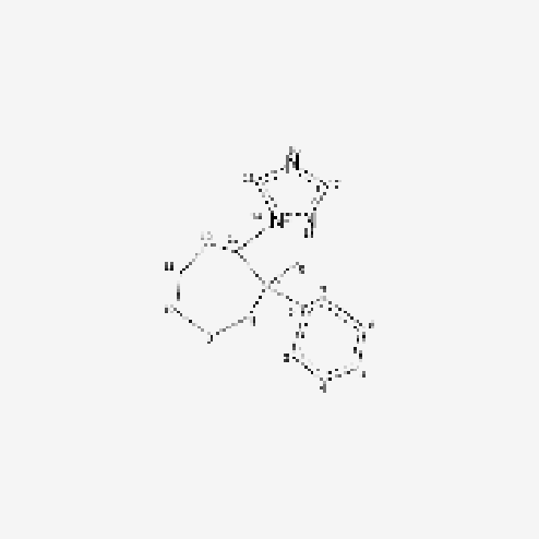 CC1(c2ccccc2)CCCCCC1n1cncn1